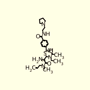 C=CCN(C)C(=O)[C@@H](N)C(SNc1ccc(C(=O)NCCN2CCCC2)cc1)N(CC)C(C)=O